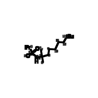 CC(C)S(=O)(=O)NC(C)(C)CCCCCC(C)(C)C